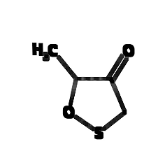 CC1OSCC1=O